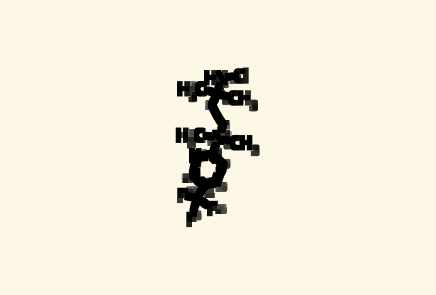 CC(C)(CC[N+](C)(C)c1ccc(C(F)(F)F)cn1)NCl